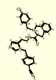 N#Cc1ccc(Cn2cncc2CCNC(=O)[C@@H]2Cc3ccccc3CN2Cc2ccc(Cl)cc2)cc1